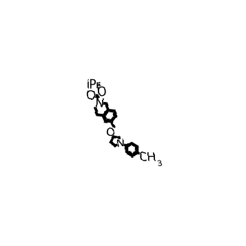 Cc1ccc(N2CC[C@H](OCc3ccc4c(c3)CCN(C(=O)OC(C)C)C4)C2)cc1